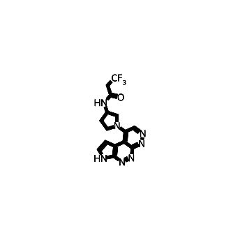 O=C(CC(F)(F)F)NC1CCN(c2cnnc3nnc4[nH]ccc4c23)C1